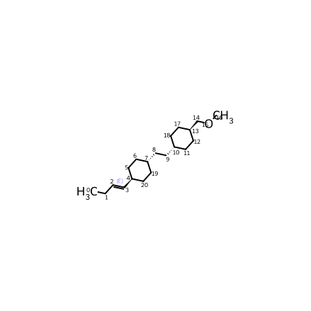 CC/C=C/[C@H]1CC[C@H](CC[C@H]2CC[C@H](COC)CC2)CC1